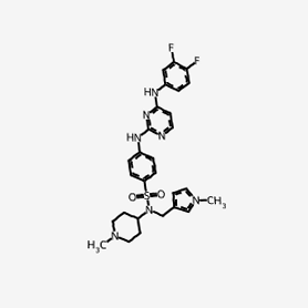 CN1CCC(N(Cc2ccn(C)c2)S(=O)(=O)c2ccc(Nc3nccc(Nc4ccc(F)c(F)c4)n3)cc2)CC1